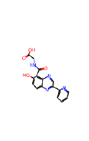 O=C(O)CNC(=O)c1c(O)ccc2nc(-c3ccccn3)cnc12